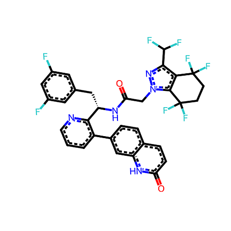 O=C(Cn1nc(C(F)F)c2c1C(F)(F)CCC2(F)F)N[C@@H](Cc1cc(F)cc(F)c1)c1ncccc1-c1ccc2ccc(=O)[nH]c2c1